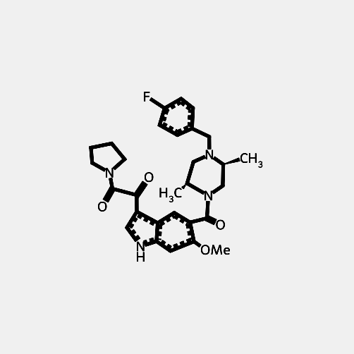 COc1cc2[nH]cc(C(=O)C(=O)N3CCCC3)c2cc1C(=O)N1C[C@H](C)N(Cc2ccc(F)cc2)C[C@H]1C